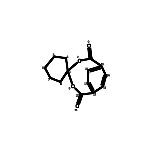 O=C1OC2(CCCCC2)OC(=O)c2ccc1cc2